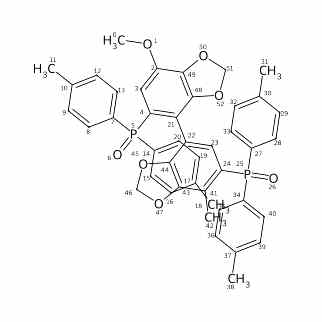 COc1cc(P(=O)(c2ccc(C)cc2)c2ccc(C)cc2)c(-c2cc(P(=O)(c3ccc(C)cc3)c3ccc(C)cc3)c(C)c3c2OCO3)c2c1OCO2